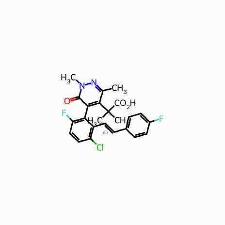 Cc1nn(C)c(=O)c(-c2c(F)ccc(Cl)c2/C=C/c2ccc(F)cc2)c1C(C)(C)C(=O)O